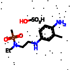 CCN(CCNc1ccc(N)c(C)c1)S(C)(=O)=O.O=S(=O)(O)O